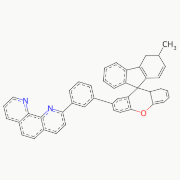 CC1C=CC2=C(C1)c1ccccc1C21c2cc(-c3cccc(-c4ccc5ccc6cccnc6c5n4)c3)ccc2OC2=CC=CCC21